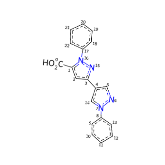 O=C(O)c1cc(-c2cnn(-c3ccccc3)c2)nn1-c1ccccc1